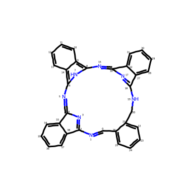 C1=N/C2=NC(=N\c3[nH]c(c4ccccc34)/N=C3\N=C(NCc4ccccc4/1)c1ccccc13)/c1ccccc12